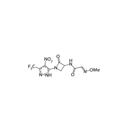 CON=CC(=O)NC1CN(c2[nH]nc(C(F)(F)F)c2[N+](=O)[O-])C1=O